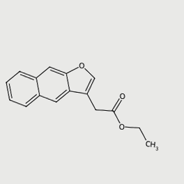 CCOC(=O)Cc1coc2cc3ccccc3cc12